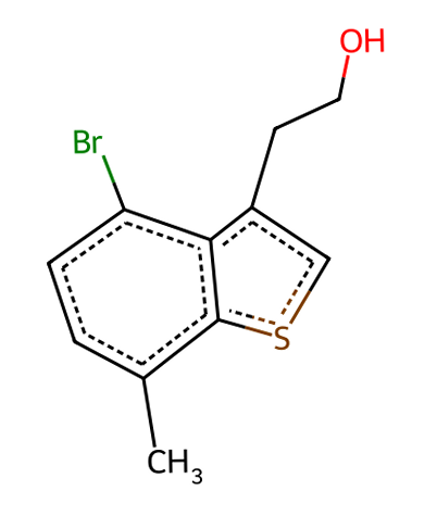 Cc1ccc(Br)c2c(CCO)csc12